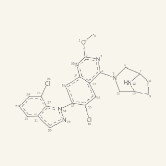 COc1nc(N2CC3CCC(C2)N3)c2cc(Cl)c(-n3ncc4cccc(Cl)c43)cc2n1